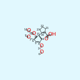 COCOc1cc(COC)c(OCOC)c(C2=C(C(=O)O)CCC2)c1